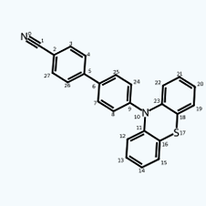 N#Cc1ccc(-c2ccc(N3c4ccccc4Sc4ccccc43)cc2)cc1